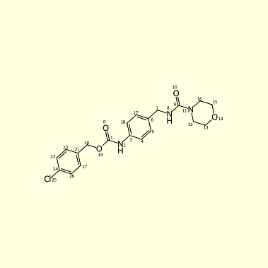 O=C(Nc1ccc(CNC(=O)N2CCOCC2)cc1)OCc1ccc(Cl)cc1